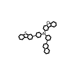 c1cc(-c2ccc3ccccc3c2)cc(N(c2ccc(-c3ccc4c(c3)sc3ccccc34)cc2)c2ccc3oc4ccccc4c3c2)c1